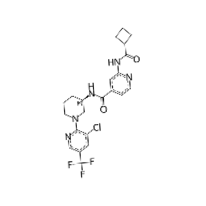 O=C(N[C@@H]1CCCN(c2ncc(C(F)(F)F)cc2Cl)C1)c1ccnc(NC(=O)C2CCC2)c1